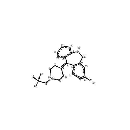 CC(C)(C)CN1CCC(=C2c3ccc(F)cc3CSc3ccccc32)CC1